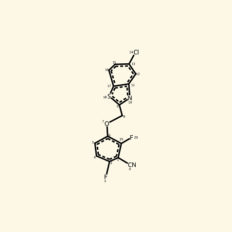 N#Cc1c(F)ccc(OCc2nc3cc(Cl)ccc3s2)c1F